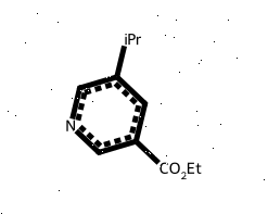 CCOC(=O)c1cncc(C(C)C)c1